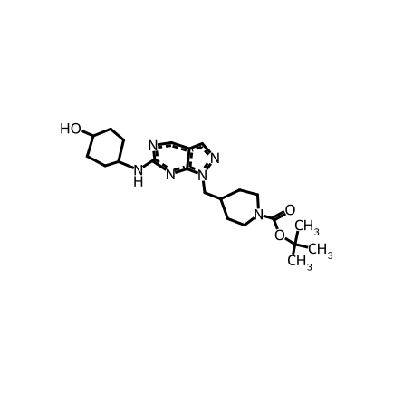 CC(C)(C)OC(=O)N1CCC(Cn2ncc3cnc(NC4CCC(O)CC4)nc32)CC1